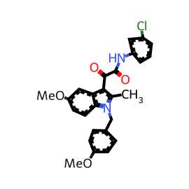 COc1ccc(Cn2c(C)c(C(=O)C(=O)Nc3cccc(Cl)c3)c3cc(OC)ccc32)cc1